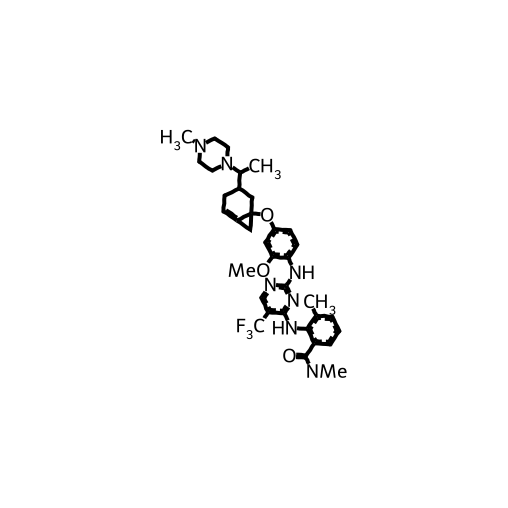 CNC(=O)c1cccc(C)c1Nc1nc(Nc2ccc(OC34CC3=CCC(C(C)N3CCN(C)CC3)C4)cc2OC)ncc1C(F)(F)F